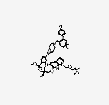 COC(=O)c1ccc(N2CCN(CC3=C(c4ccc(Cl)cc4)CC(C)(C)CC3)CC2)cc1N1CC(C)(C#N)COc2nc3c(ccn3COCC[Si](C)(C)C)cc21